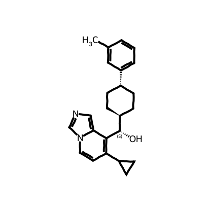 Cc1cccc([C@H]2CC[C@H]([C@H](O)c3c(C4CC4)ccn4cncc34)CC2)c1